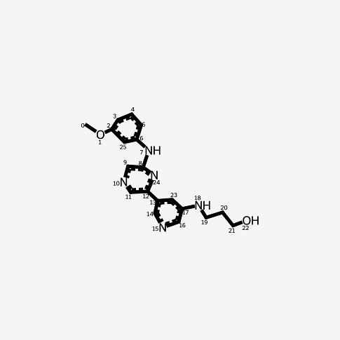 COc1cccc(Nc2cncc(-c3cncc(NCCCO)c3)n2)c1